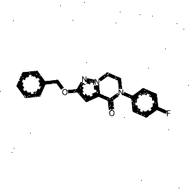 O=C1c2cc(OCc3ccccc3)nn2CCN1c1ccc(F)cc1